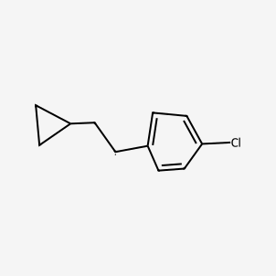 Clc1ccc([CH]CC2CC2)cc1